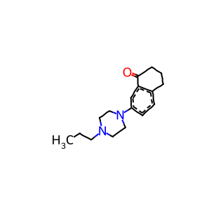 CCCN1CCN(c2ccc3c(c2)C(=O)CCC3)CC1